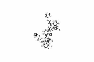 CCCCCCN1/C(=C/C=C2\CCCC(/C=C/C3=[N+](CCCCCC)c4ccccc4C3(C)C)=C2Cl)C(C)(C)c2ccccc21